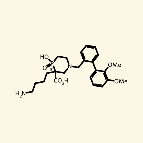 COc1cccc(-c2ccccc2CN2CCP(=O)(O)[C@](CCCCN)(C(=O)O)C2)c1OC